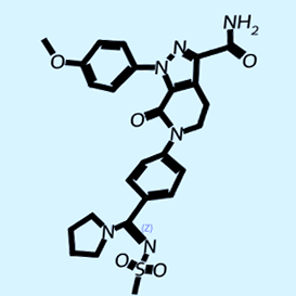 COc1ccc(-n2nc(C(N)=O)c3c2C(=O)N(c2ccc(/C(=N/S(C)(=O)=O)N4CCCC4)cc2)CC3)cc1